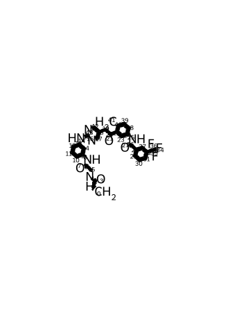 C=CC(=O)NCC(=O)Nc1cccc(Nc2ncc(CC(=O)c3cc(NC(=O)c4cccc(C(F)(F)F)c4)ccc3C)cn2)c1